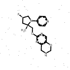 C[C@@]1(COc2ncc3c(n2)CNCO3)C[C@@H](F)CN1c1ccncc1